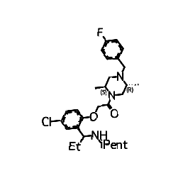 CCCC(C)NC(CC)c1cc(Cl)ccc1OCC(=O)N1C[C@@H](C)N(Cc2ccc(F)cc2)C[C@@H]1C